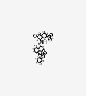 O=c1cc(NCc2ccc(S(=O)(=O)Oc3ccccc3)c3ccccc23)c2cc([N+](=O)[O-])ccc2o1